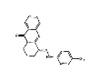 Cc1ccc(NN=C2CCCn3c2nc2ccccc2c3=O)cc1